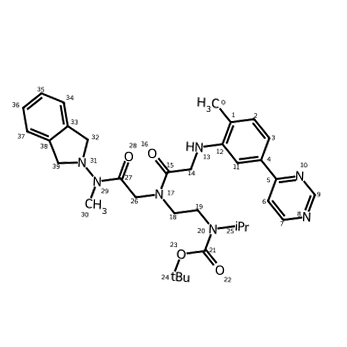 Cc1ccc(-c2ccncn2)cc1NCC(=O)N(CCN(C(=O)OC(C)(C)C)C(C)C)CC(=O)N(C)N1Cc2ccccc2C1